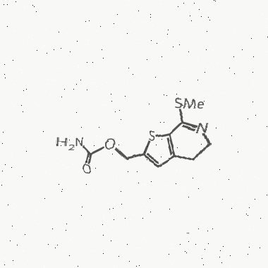 CSC1=NCCc2cc(COC(N)=O)sc21